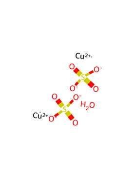 O.O=S(=O)([O-])[O-].O=S(=O)([O-])[O-].[Cu+2].[Cu+2]